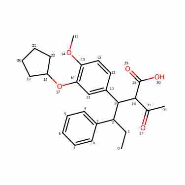 CCC(c1ccccc1)C(c1ccc(OC)c(OC2CCCC2)c1)C(C(C)=O)C(=O)O